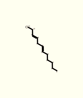 CCCCC/C=C/C/C=C/CCl